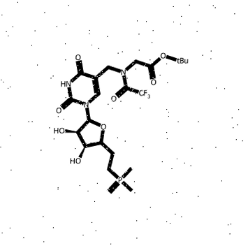 C=P(C)(C)CCC1OC(n2cc(CN(CC(=O)OC(C)(C)C)C(=O)C(F)(F)F)c(=O)[nH]c2=O)[C@H](O)[C@@H]1O